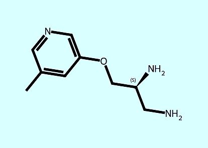 Cc1cncc(OC[C@@H](N)CN)c1